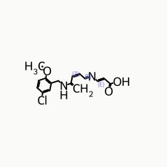 C=C(\C=C/C=N/C=C/C(=O)O)NCc1cc(Cl)ccc1OC